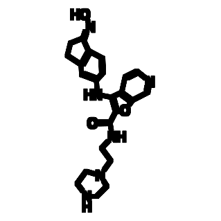 O=C(NCCN1CCNCC1)c1oc2cnccc2c1Nc1ccc2c(c1)CC/C2=N\O